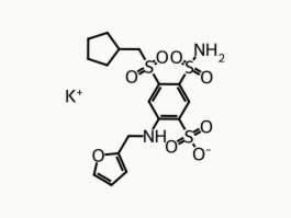 NS(=O)(=O)c1cc(S(=O)(=O)[O-])c(NCc2ccco2)cc1S(=O)(=O)CC1CCCC1.[K+]